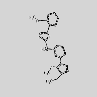 CCc1ncn(-c2cccc([AsH]c3ncc(-c4ccccc4OC)s3)c2)c1CC